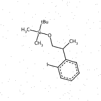 CC(CO[Si](C)(C)C(C)(C)C)c1ccccc1I